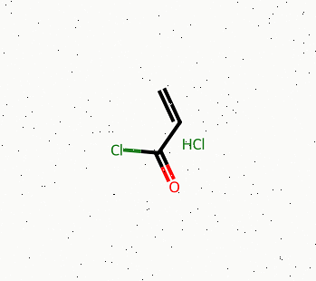 C=CC(=O)Cl.Cl